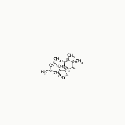 C1CCOC1.CC(C)OC(C)C.Cc1ccccc1C